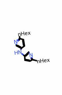 CCCCCCc1ccc(Nc2ccc(CCCCCC)nc2)cn1